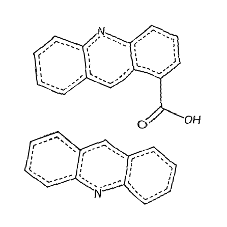 O=C(O)c1cccc2nc3ccccc3cc12.c1ccc2nc3ccccc3cc2c1